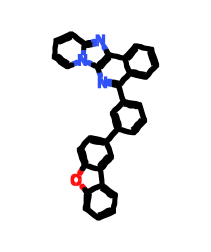 c1cc(-c2ccc3oc4ccccc4c3c2)cc(-c2nc3c(nc4ccccn43)c3ccccc23)c1